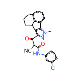 Cn1nc(C(=O)C(C#N)C(=O)Nc2cccc(Cl)c2)c2c1-c1cccc3c1C2CCC3